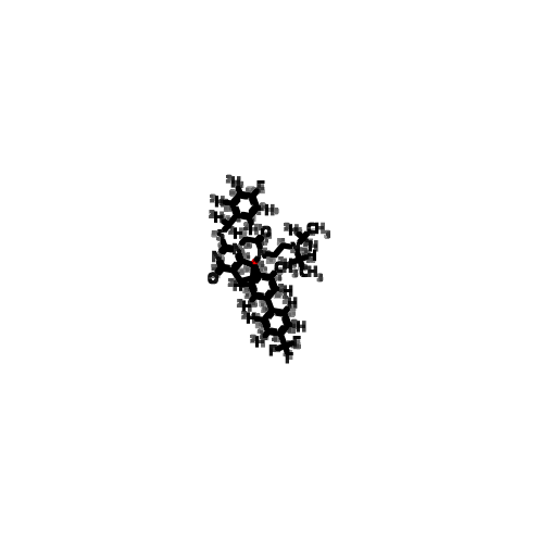 [2H]c1c([2H])c(C([2H])([2H])Sc2nc(=O)c3c(n2CC(=O)N(CCN(C([2H])([2H])C)C([2H])([2H])C)Cc2c([2H])c([2H])c(-c4c([2H])c([2H])c(C(F)(F)F)c([2H])c4[2H])c([2H])c2C)CCC3)c([2H])c([2H])c1F